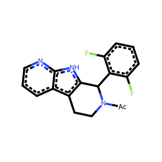 CC(=O)N1CCc2c([nH]c3ncccc23)C1c1c(F)cccc1F